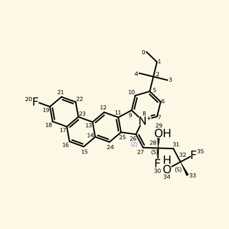 CCC(C)(C)c1cc[n+]2c(c1)-c1cc3c(ccc4cc(F)ccc43)cc1/C2=C/[C@@](O)(F)C[C@@](C)(O)F